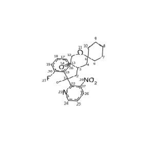 CC(CC1CC2(CCCCC2)OCC1=O)(c1ccccc1F)c1ncccc1[N+](=O)[O-]